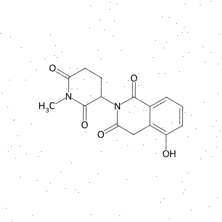 CN1C(=O)CCC(N2C(=O)Cc3c(O)cccc3C2=O)C1=O